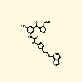 O=C(Nc1cc(C(=O)N2CCC[C@H]2CO)cc(C(F)(F)F)c1)Nc1ncc(CCNc2ncnc3ccsc23)s1